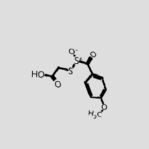 COc1ccc(C(=O)[S+]([O-])SCC(=O)O)cc1